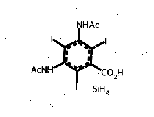 CC(=O)Nc1c(I)c(NC(C)=O)c(I)c(C(=O)O)c1I.[SiH4]